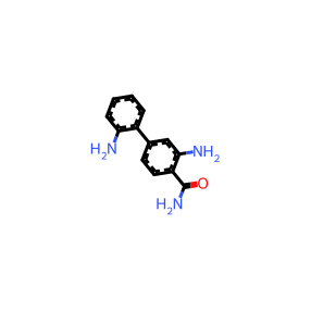 NC(=O)c1ccc(-c2ccccc2N)cc1N